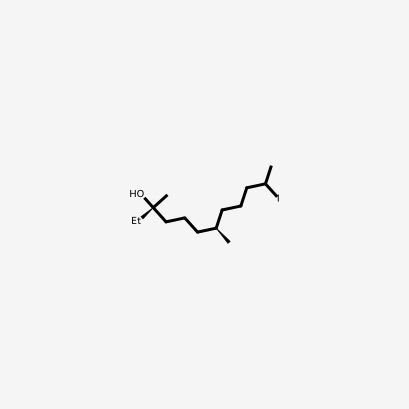 CC[C@](C)(O)CCC[C@H](C)CCCC(C)I